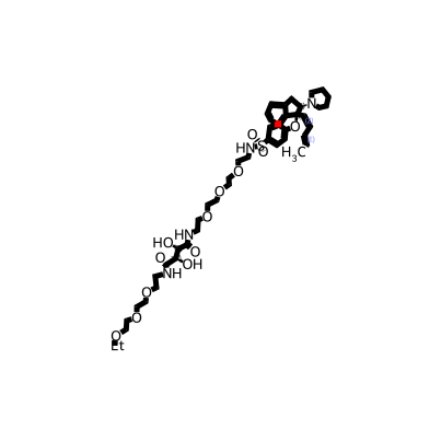 C/C=C/C=C\[C@]1(Oc2ccc(S(=O)(=O)NCCOCCOCCOCCNC(=O)[C@H](O)[C@@H](O)C(=O)NCCOCCOCCOCC)cc2)c2ccccc2C[C@@H]1N1CCCCC1